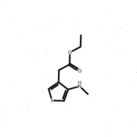 CCOC(=O)Cc1cscc1NC